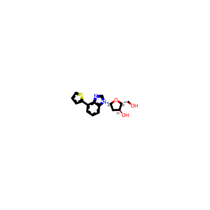 OC[C@H]1O[C@@H](n2cnc3c(-c4cccs4)cccc32)C[C@@H]1O